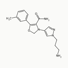 Cc1cccc(C2=C(C(N)=O)N(c3cnn(CCCN)c3)CO2)c1